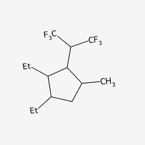 CCC1CC(C)C(C(C(F)(F)F)C(F)(F)F)C1CC